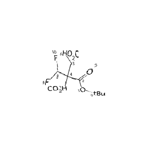 CC(C)(C)OC(=O)C(CC(=O)O)(C(=O)O)C(F)F